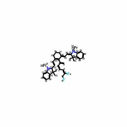 C=C(/C=C\C=C(\F)CF)C1=C(/C=C/C2N(CCC)c3ccccc3C2(C)C)CCC/C1=C\C=C1\N(CCC)c2ccccc2C1(C)C